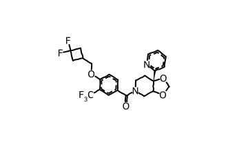 O=C(c1ccc(OCC2CC(F)(F)C2)c(C(F)(F)F)c1)N1CC[C@]2(c3ccccn3)OCOC2C1